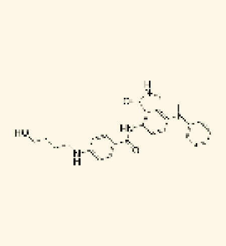 O=C(Nc1ccc(Nc2ccccc2)c2c1C(=O)NC2)c1ccc(NCCCCO)cc1